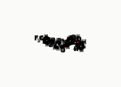 CC(C)n1c(C(=O)N2CCN(S(=O)(=O)c3ccc(C(F)(F)F)cc3)CC2)cc2cc(O[C@H]3C[C@H]4CC[C@@H](C3)N4C(=O)OC(C)(C)C)ccc21